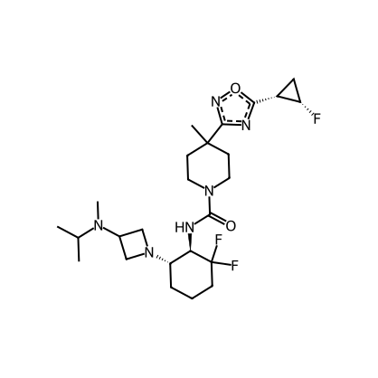 CC(C)N(C)C1CN([C@H]2CCCC(F)(F)[C@@H]2NC(=O)N2CCC(C)(c3noc([C@@H]4C[C@@H]4F)n3)CC2)C1